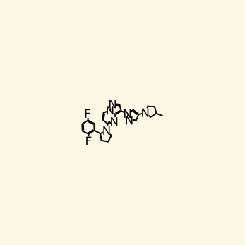 CC1CCN(c2cnn(-c3cnn4ccc(N5CCCC5c5cc(F)ccc5F)nc34)c2)C1